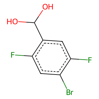 OC(O)c1cc(F)c(Br)cc1F